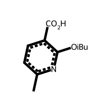 Cc1ccc(C(=O)O)c(OCC(C)C)n1